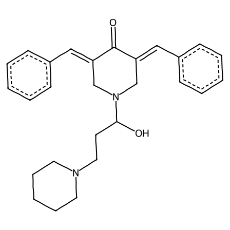 O=C1/C(=C/c2ccccc2)CN(C(O)CCN2CCCCC2)C/C1=C\c1ccccc1